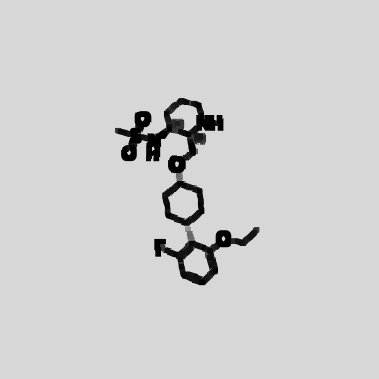 CCOc1cccc(F)c1[C@H]1CC[C@@H](OC[C@@H]2NCCC[C@@H]2NS(C)(=O)=O)CC1